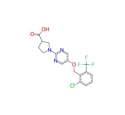 O=C(O)C1CCN(c2ncc(OCc3c(Cl)cccc3C(F)(F)F)cn2)C1